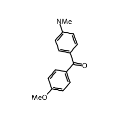 CNc1ccc(C(=O)c2ccc(OC)cc2)cc1